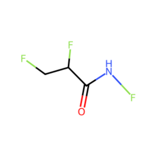 O=C(NF)C(F)CF